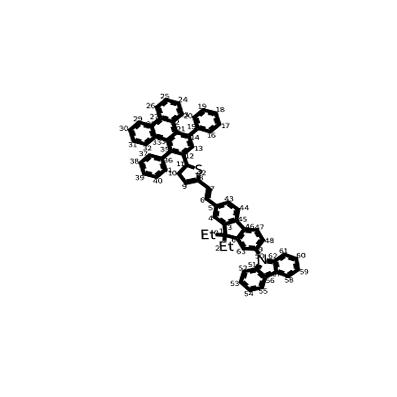 CCC1(CC)c2cc(/C=C/C3=CCC(c4cc(-c5ccccc5)c5c6ccccc6c6ccccc6c5c4-c4ccccc4)S3)ccc2-c2ccc(-n3c4ccccc4c4ccccc43)cc21